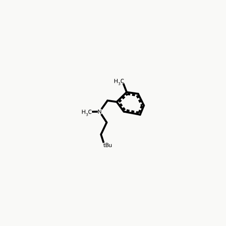 Cc1ccccc1CN(C)CCC(C)(C)C